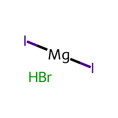 Br.[I][Mg][I]